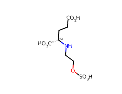 O=C(O)CC[C@H](NCCOS(=O)(=O)O)C(=O)O